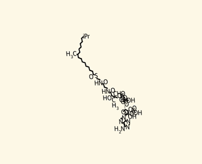 CC(C)CCCCCCC(C)CCCCCCCCC(=O)SCCNC(=O)CCNC(=O)[C@H](O)C(C)(C)COP(=O)(O)OP(=O)(O)OC[C@H]1O[C@@H](n2cnc3c(N)ncnc32)[C@H](O)[C@@H]1OP(=O)(O)O